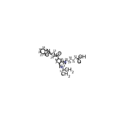 C=CC(=C)/C=N/c1ccc(C(=O)N2CC(c3nc4ccccc4o3)C2)cc1/N=C/CCCCC(=O)O